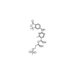 Cc1nc(Nc2ccc3c(c2)C(C)(C)OC3=O)ncc1C(=N)OC(=N)CCOS(C)(=O)=O